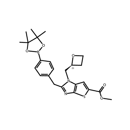 COC(=O)c1cc2c(nc(Cc3ccc(B4OC(C)(C)C(C)(C)O4)cc3)n2C[C@@H]2CCO2)s1